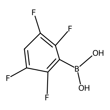 OB(O)c1c(F)c(F)cc(F)c1F